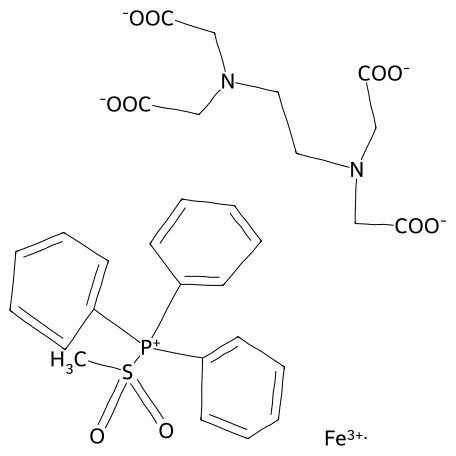 CS(=O)(=O)[P+](c1ccccc1)(c1ccccc1)c1ccccc1.O=C([O-])CN(CCN(CC(=O)[O-])CC(=O)[O-])CC(=O)[O-].[Fe+3]